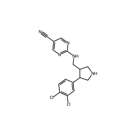 N#Cc1cnc(NCC2CNCC2c2ccc(Cl)c(Cl)c2)nc1